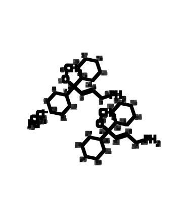 COC(C=CCP)(C1CCCCC1)C1CCCCC1.COC(C=CCP)(C1CCCCC1)C1CCCCC1.[Cl-].[Cl-].[Pd+2]